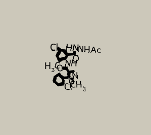 CC(=O)NNC(=O)c1cc(Cl)cc(C)c1NC(=O)c1cnn(C)c1-c1ccccc1Cl